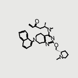 C=CC(=O)C[C@@H](C)N(C)c1nc(OC[C@@H]2CCCN2C)nc2c1CCN(c1cccc3ccccc13)C2